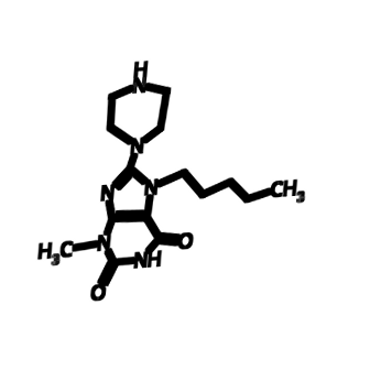 CCCCCn1c(N2CCNCC2)nc2c1c(=O)[nH]c(=O)n2C